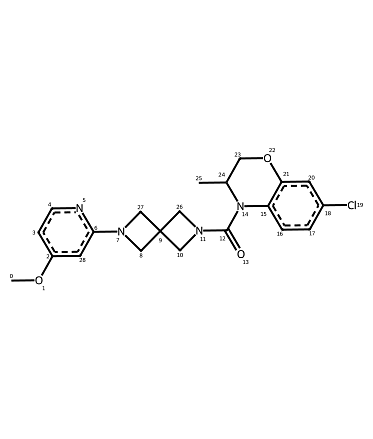 COc1ccnc(N2CC3(CN(C(=O)N4c5ccc(Cl)cc5OCC4C)C3)C2)c1